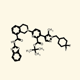 Cc1c(-c2ccc(N3CCc4cccc(C(=O)Nc5nc6ccccc6s5)c4C3)nc2C(=O)OC(C)(C)C)cnn1CC1CCC(F)(F)CC1